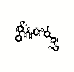 O=C(Nc1cnc(Oc2ccc(-c3cnc(N4CCCC4=O)s3)cc2F)nc1)Nc1cc(C(F)(F)F)cnc1-c1ccccc1